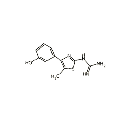 Cc1sc(NC(=N)N)nc1-c1cccc(O)c1